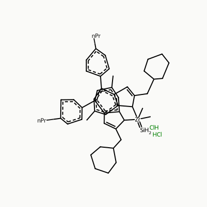 CCCc1ccc(-c2cc(C)cc3c2C=C(CC2CCCCC2)[CH]3[Zr]([CH3])([CH3])(=[SiH2])[CH]2C(CC3CCCCC3)=Cc3c(-c4ccc(CCC)cc4)cc(C)cc32)cc1.Cl.Cl